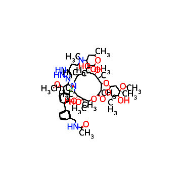 CC[C@H]1OC(=O)[C@H](C)[C@@H](O[C@H]2C[C@@](C)(OC)[C@@H](O)[C@H](C)O2)[C@H](C)[C@@H](O[C@@H]2O[C@H](C)C[C@H](N(C)CCC3=CN([C@H](CF)[C@H](OC)c4ccc(-c5cccc(CNC(C)=O)c5)cc4)NN3)[C@H]2O)[C@](C)(O)C[C@@H](C)CN(C)[C@H](C)[C@@H](O)[C@]1(C)O